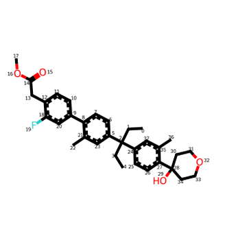 CCC(CC)(c1ccc(-c2ccc(CC(=O)OC)c(F)c2)c(C)c1)c1ccc(C2(O)CCOCC2)c(C)c1